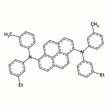 CCc1cccc(N(c2cccc(C)c2)c2ccc3ccc4c(N(c5cccc(C)c5)c5cccc(CC)c5)ccc5ccc2c3c54)c1